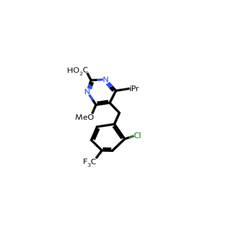 COc1nc(C(=O)O)nc(C(C)C)c1Cc1ccc(C(F)(F)F)cc1Cl